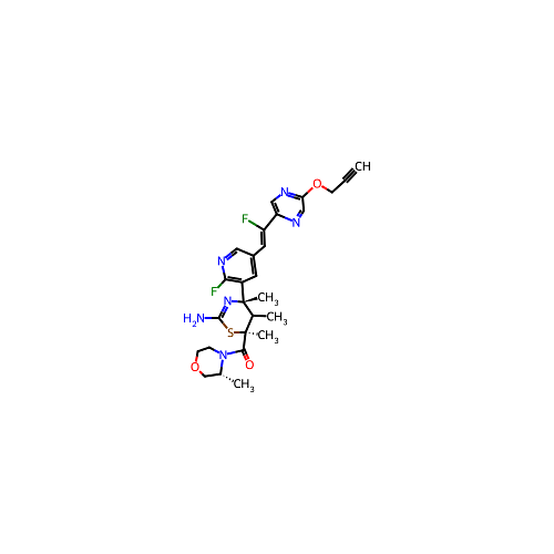 C#CCOc1cnc(/C(F)=C/c2cnc(F)c([C@@]3(C)N=C(N)S[C@](C)(C(=O)N4CCOC[C@H]4C)C3C)c2)cn1